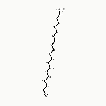 O=S(=O)(O)OCCOCCOCCOCCOCCOCCO